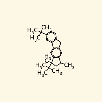 CC1CC(C)(C(C)(C)C)c2cc3c(cc21)Cc1ccc(C(C)(C)C)cc1-3